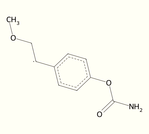 COC[CH]c1ccc(OC(N)=O)cc1